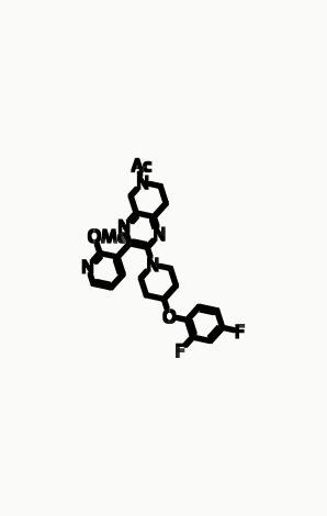 COc1ncccc1-c1nc2c(nc1N1CCC(Oc3ccc(F)cc3F)CC1)CCN(C(C)=O)C2